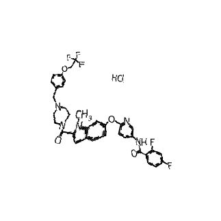 Cl.Cn1c(C(=O)N2CCN(Cc3ccc(OCC(F)(F)F)cc3)CC2)cc2ccc(Oc3ccc(NC(=O)c4ccc(F)cc4F)cn3)cc21